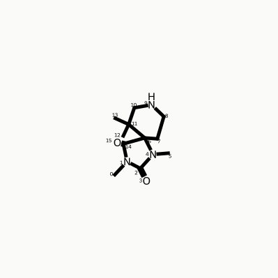 CN1C(=O)N(C)C2(CCNCC2(C)C)C1=O